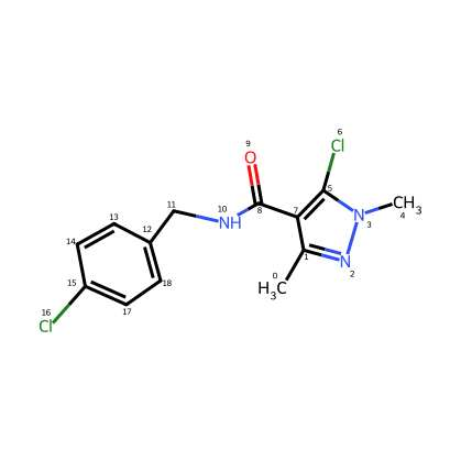 Cc1nn(C)c(Cl)c1C(=O)NCc1ccc(Cl)cc1